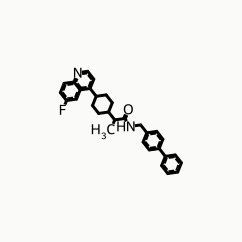 CC(C(=O)NCc1ccc(-c2ccccc2)cc1)C1CCC(c2ccnc3ccc(F)cc23)CC1